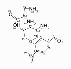 CN(C)c1ccc(C=O)cc1.NC1CCCCC1.NC[C@H](N)C(=O)O